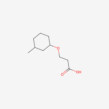 CC1CCCC(OCCC(=O)O)C1